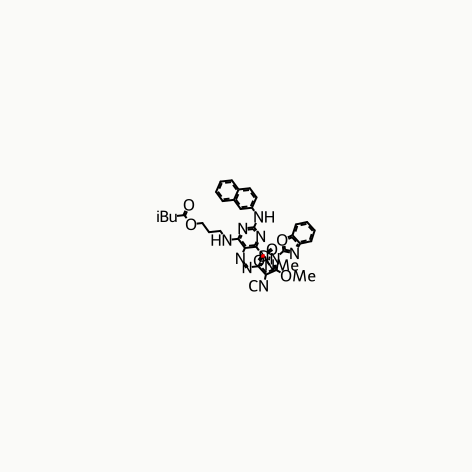 CCC(C)C(=O)OCCCNc1nc(Nc2ccc3ccccc3c2)nc(S(=O)(=O)NC)c1/N=N\c1nn(-c2nc3ccccc3o2)c(OC)c1C#N